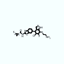 NCCSc1c(F)c(Cl)c(-c2ccc3nc(NC(=O)[C@@H]4C[C@@H]4F)sc3c2)c2cn[nH]c12